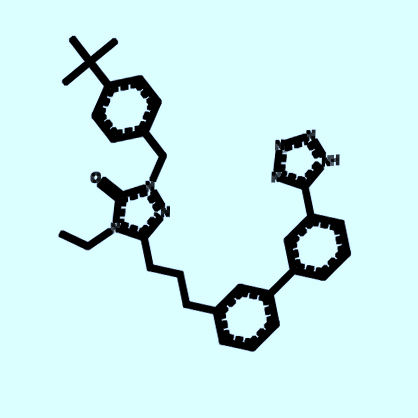 CCn1c(CCCc2cccc(-c3cccc(-c4nnn[nH]4)c3)c2)nn(Cc2ccc(C(C)(C)C)cc2)c1=O